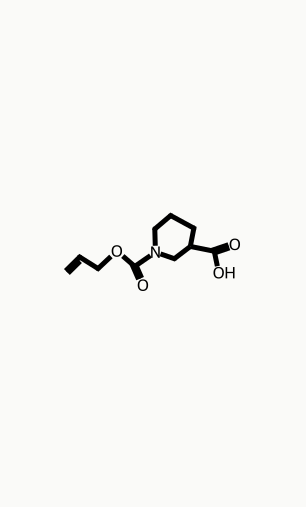 C=CCOC(=O)N1CCCC(C(=O)O)C1